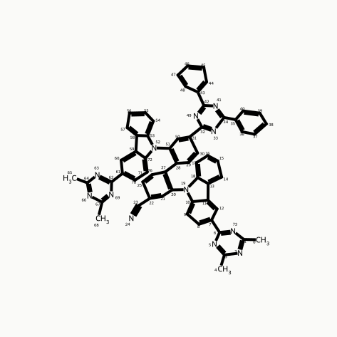 Cc1nc(C)nc(-c2ccc3c(c2)c2ccccc2n3-c2cc(C#N)ccc2-c2ccc(-c3nc(-c4ccccc4)nc(-c4ccccc4)n3)cc2-n2c3ccccc3c3cc(-c4nc(C)nc(C)n4)ccc32)n1